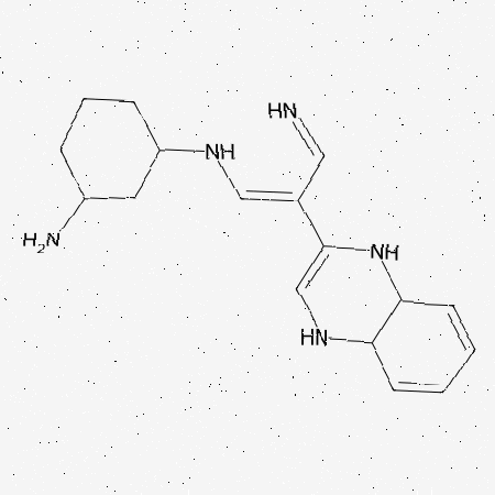 N=C/C(=C\NC1CCCC(N)C1)C1=CNC2C=CC=CC2N1